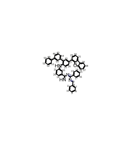 N=C(/N=C(\N=C\c1ccccc1)c1ccccc1)c1cccc(Nc2ccc(-c3cccc4c3oc3ccccc34)cc2-c2cccc(-c3ccccc3)c2)c1